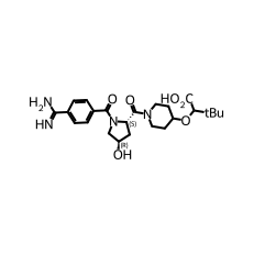 CC(C)(C)C(OC1CCN(C(=O)[C@@H]2C[C@@H](O)CN2C(=O)c2ccc(C(=N)N)cc2)CC1)C(=O)O